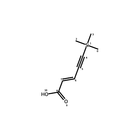 C[Si](C)(C)C#CC=CC(=O)O